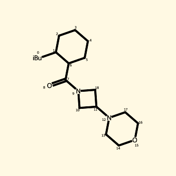 CCC(C)C1CCCCC1C(=O)N1CC(N2CCOCC2)C1